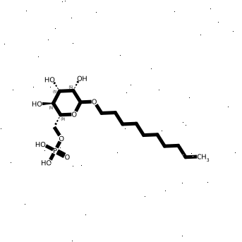 CCCCCCCCCCOC1O[C@H](COP(=O)(O)O)[C@@H](O)[C@H](O)[C@@H]1O